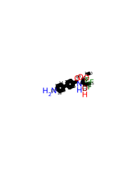 CCOC(=O)[C@@H](NC(=O)c1ccc(-c2ccc(N)cc2)cc1)[C@H](O)C(F)(F)F